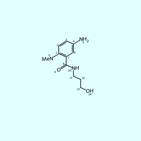 CNc1ccc(N)cc1C(=O)NCCCO